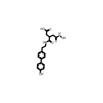 O=C(O)CC(CC(=O)NO)C(=O)NCCc1ccc(-c2ccc(O)cc2)cc1